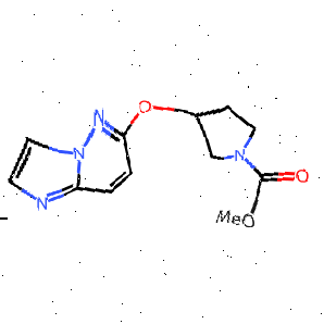 COC(=O)N1CCC(Oc2ccc3nccn3n2)C1